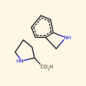 O=C(O)C1CCCN1.c1ccc2c(c1)CN2